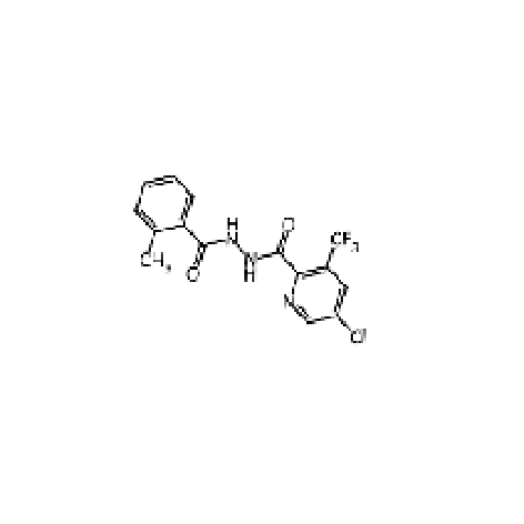 Cc1ccccc1C(=O)NNC(=O)c1ncc(Cl)cc1C(F)(F)F